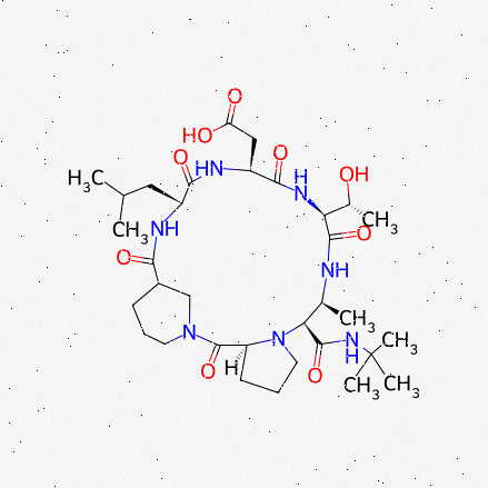 CC(C)C[C@@H]1NC(=O)C2CCCN(C2)C(=O)[C@@H]2CCCN2[C@H](C(=O)NC(C)(C)C)[C@H](C)NC(=O)[C@H]([C@@H](C)O)NC(=O)[C@H](CC(=O)O)NC1=O